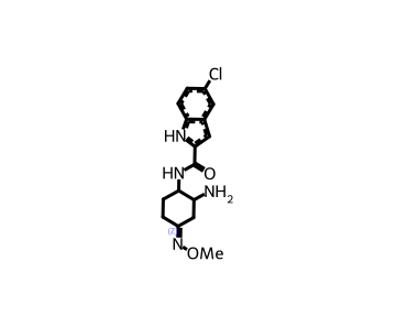 CO/N=C1/CCC(NC(=O)c2cc3cc(Cl)ccc3[nH]2)C(N)C1